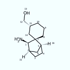 N[C@@H]1[C@@H]2CC[C@@H](C2)[C@]12CCC[C@@H](CO)C2